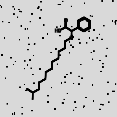 CC(C)CCCCCCCCCCOC(C(=O)O)c1ccccc1